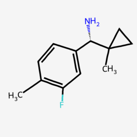 Cc1ccc([C@H](N)C2(C)CC2)cc1F